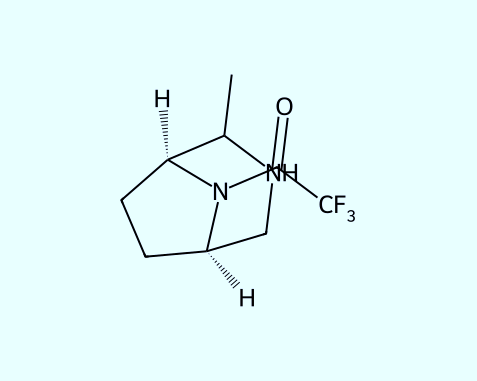 CC1NC[C@H]2CC[C@@H]1N2C(=O)C(F)(F)F